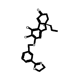 CCC[C@]12CCC(=O)C=C1c1c(cc(OCc3cccc(C4=NCCO4)c3)c(Cl)c1Cl)C2